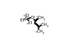 C=C(C=C(C)C)O[Si](CC)(CC)CC